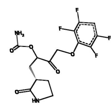 NC(=O)OC(C[C@@H]1CCNC1=O)C(=O)COc1c(F)c(F)cc(F)c1F